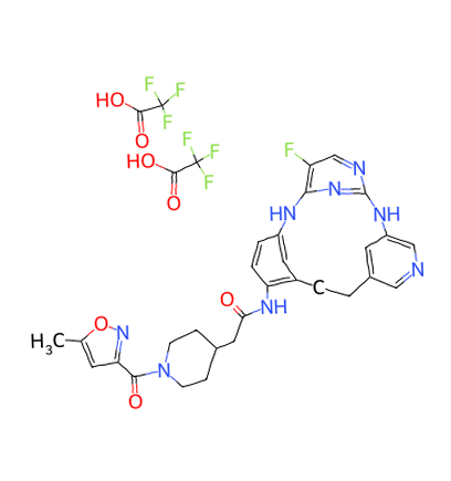 Cc1cc(C(=O)N2CCC(CC(=O)Nc3ccc4cc3CCc3cncc(c3)Nc3ncc(F)c(n3)N4)CC2)no1.O=C(O)C(F)(F)F.O=C(O)C(F)(F)F